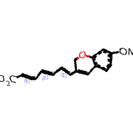 COc1ccc2c(c1)OCC(/C=C/C=C/C=C/C(=O)O)=C2